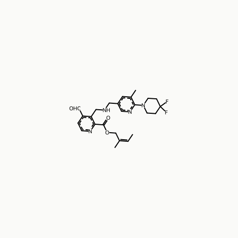 C/C=C(/C)COC(=O)c1nccc(C=O)c1CNCc1cnc(N2CCC(F)(F)CC2)c(C)c1